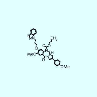 C=CCOC(=O)N1C[C@@H]2CC(c3ccc(OC)cc3)=CN2C(=O)c2cc(OC)c(OCCCn3nnc4ccccc43)cc21